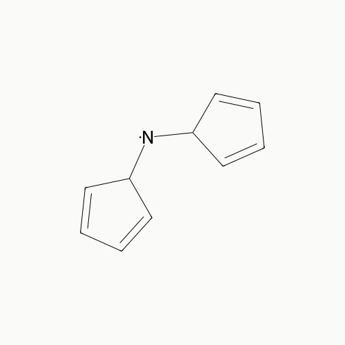 C1=CC([N]C2C=CC=C2)C=C1